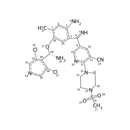 Cc1cc(N)c(C(=N)c2cnc(N3CCN(S(C)(=O)=O)CC3)c(C#N)c2)cc1O[C@H](N)c1c(Cl)cncc1Cl